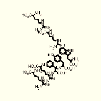 N=C(N)NCCCC(N)C(=O)O.N=C(N)NCCCC(N)C(=O)O.N=C(N)NCCCC(N)C(=O)O.N=C(N)NCCCC(N)C(=O)O.NC(Cc1c[nH]c2ccccc12)C(=O)O.NC(Cc1ccc(O)cc1)C(=O)O.NC(Cc1ccccc1)C(=O)O